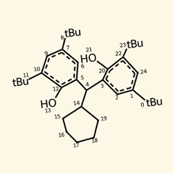 CC(C)(C)c1cc(C(c2cc(C(C)(C)C)cc(C(C)(C)C)c2O)C2CCCCC2)c(O)c(C(C)(C)C)c1